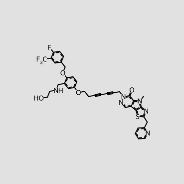 Cn1c2nc(Cc3ccccn3)sc2c2cnn(CC#CC#CCCOc3ccc(OCc4ccc(F)c(C(F)(F)F)c4)c(CNCCO)c3)c(=O)c21